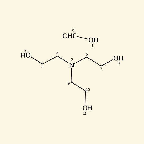 O=CO.OCCN(CCO)CCO